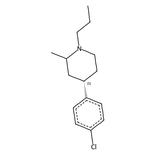 CCCN1CC[C@H](c2ccc(Cl)cc2)CC1C